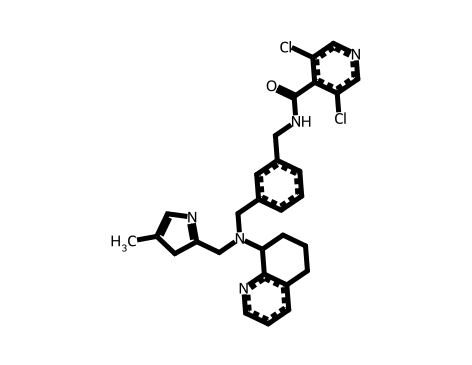 CC1=CN=C(CN(Cc2cccc(CNC(=O)c3c(Cl)cncc3Cl)c2)C2CCCc3cccnc32)C1